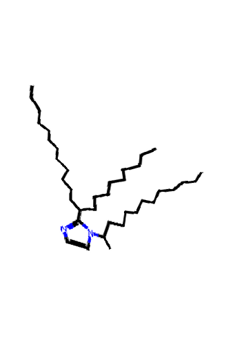 CCCCCCCCCCCCC(CCCCCCCCC)c1nccn1C(C)CCCCCCCCCCC